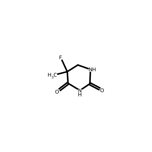 CC1(F)CNC(=O)NC1=O